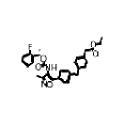 CCOC(=O)Cc1ccc(Cc2ccc(-c3onc(C)c3NC(=O)O[C@H](C)c3ccccc3F)cc2)cc1